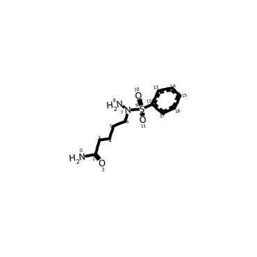 NC(=O)CCCCN(N)S(=O)(=O)c1ccccc1